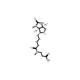 CN(CCC(=O)O)C(=O)CCCC[C@@H]1SC[C@@H]2NC(=O)N(C)[C@@H]21